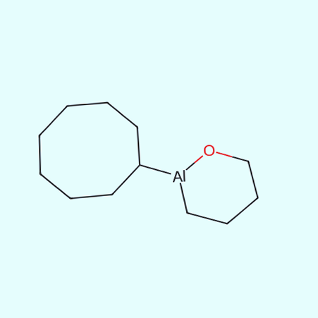 C1CCC[CH]([Al]2[CH2]CCC[O]2)CCC1